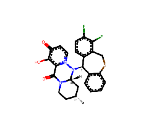 C[C@@H]1CCN2C(=O)c3c(O)c(=O)ccn3N([C@@H]3c4ccccc4SCc4c3ccc(F)c4F)[C@@H]2C1